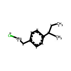 CCC(C)c1ccc([CH2][Mg][Cl])cc1